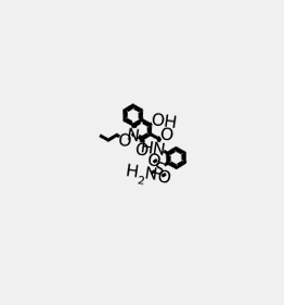 CCCOn1c(=O)c(C(=O)Nc2ccccc2S(N)(=O)=O)c(O)c2ccccc21